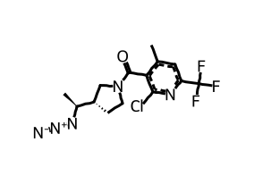 Cc1cc(C(F)(F)F)nc(Cl)c1C(=O)N1CC[C@H]([C@H](C)N=[N+]=[N-])C1